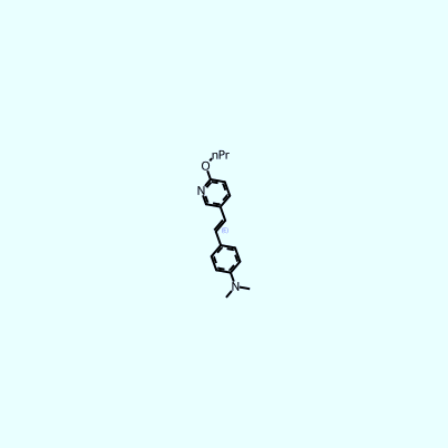 CCCOc1ccc(/C=C/c2ccc(N(C)C)cc2)cn1